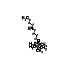 CCCCNCCCCO[Si](C)(C)C(C)(C)C